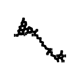 CCC1NC(=O)NC1C(C)CCCCC(=O)NCCOCCOCCNC(=O)c1ccc(-c2c3ccc(=O)cc-3oc3cc(O)ccc23)c(C(=O)O)c1